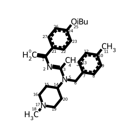 C=C(/N=C(\C)N(Cc1ccc(C)cc1)C1CCN(C)CC1)c1ccc(OCC(C)C)cc1